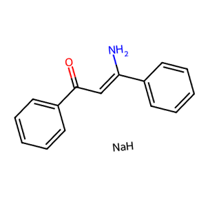 NC(=CC(=O)c1ccccc1)c1ccccc1.[NaH]